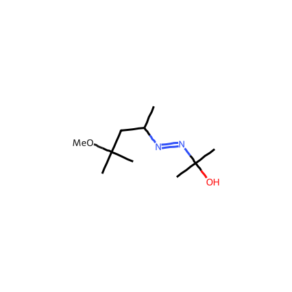 COC(C)(C)CC(C)N=NC(C)(C)O